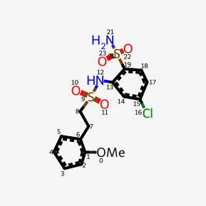 COc1ccccc1CCS(=O)(=O)Nc1cc(Cl)ccc1S(N)(=O)=O